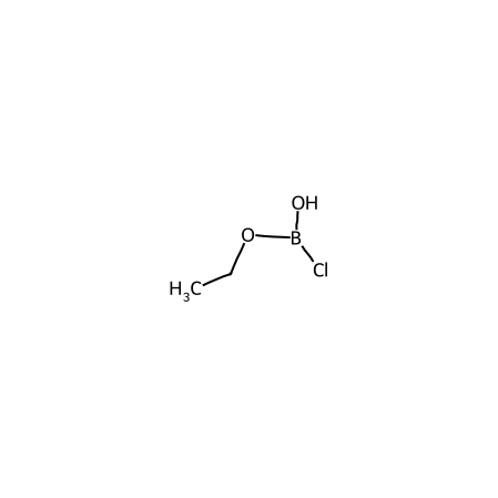 CCOB(O)Cl